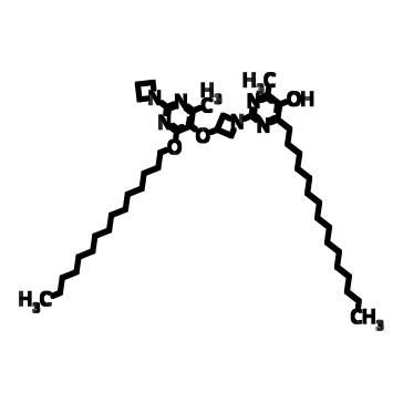 CCCCCCCCCCCCCCCCc1nc(N2CC(Oc3c(C)nc(N4CCC4)nc3OCCCCCCCCCCCCCCC)C2)nc(C)c1O